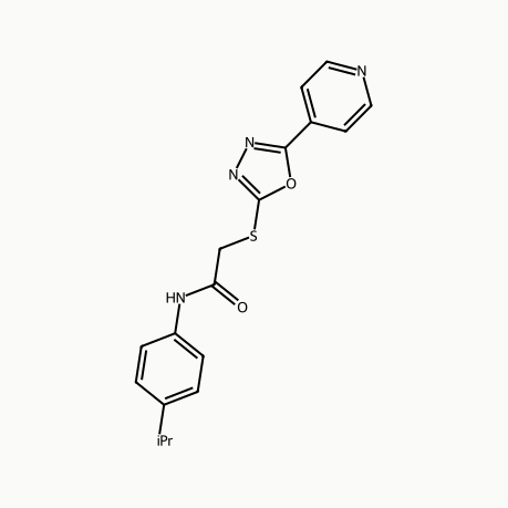 CC(C)c1ccc(NC(=O)CSc2nnc(-c3ccncc3)o2)cc1